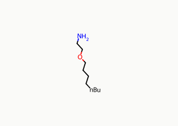 CCCCCCCCOCCN